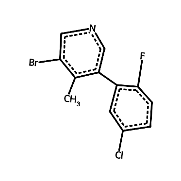 Cc1c(Br)cncc1-c1cc(Cl)ccc1F